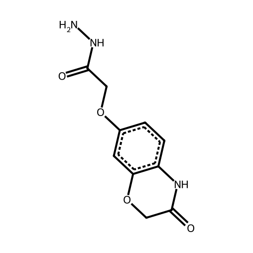 NNC(=O)COc1ccc2c(c1)OCC(=O)N2